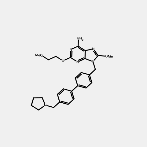 COCCOc1nc(N)c2nc(OC)n(Cc3ccc(-c4ccc(CN5CCCC5)cc4)cc3)c2n1